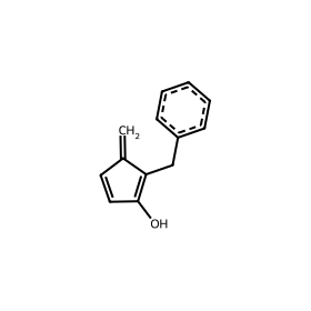 C=C1C=CC(O)=C1Cc1ccccc1